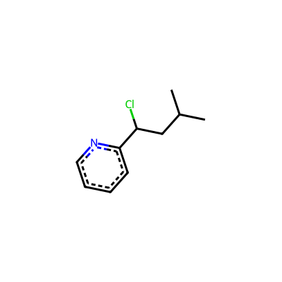 CC(C)CC(Cl)c1ccccn1